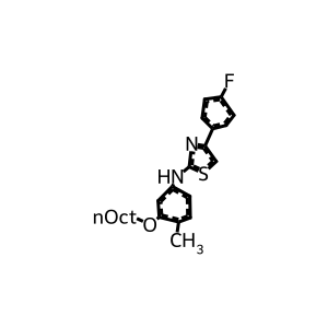 CCCCCCCCOc1cc(Nc2nc(-c3ccc(F)cc3)cs2)ccc1C